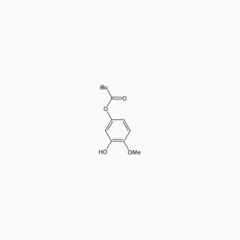 CCC(C)C(=O)Oc1ccc(OC)c(O)c1